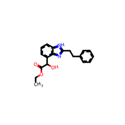 CCOC(=O)C(O)c1cccc2[nH]c(CCc3ccccc3)nc12